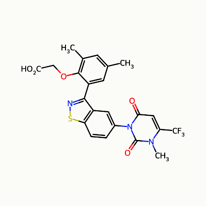 Cc1cc(C)c(OCC(=O)O)c(-c2nsc3ccc(-n4c(=O)cc(C(F)(F)F)n(C)c4=O)cc23)c1